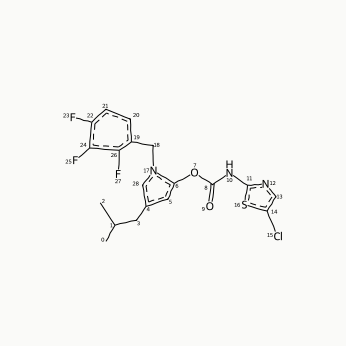 CC(C)Cc1cc(OC(=O)Nc2ncc(Cl)s2)n(Cc2ccc(F)c(F)c2F)c1